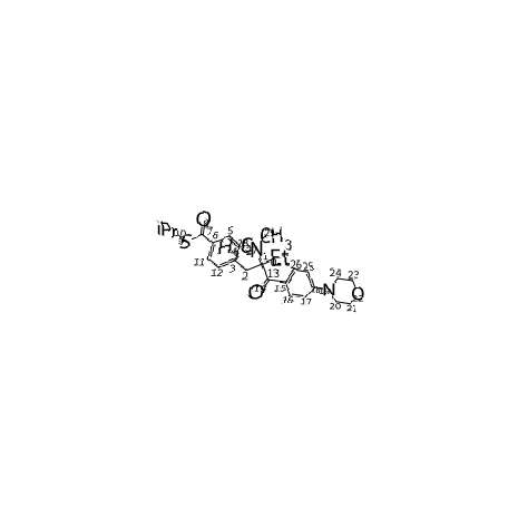 CCC(Cc1ccc(C(=O)SC(C)C)cc1)(C(=O)c1ccc(N2CCOCC2)cc1)N(C)C